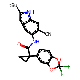 CC(C)(C)c1cc2cc(NC(=O)C3(c4ccc5c(c4)OC(F)(F)O5)CC3)c(C#N)cc2[nH]1